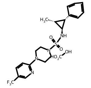 C[C@H]1[C@H](NS(=O)(=O)N2CCN(c3ccc(C(F)(F)F)cn3)CC2)[C@H]1c1ccccc1.O=C(O)O